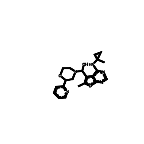 Cc1oc2ncnc(NC3(C)CC3)c2c1C(O)N1CCOC(c2ccccn2)C1